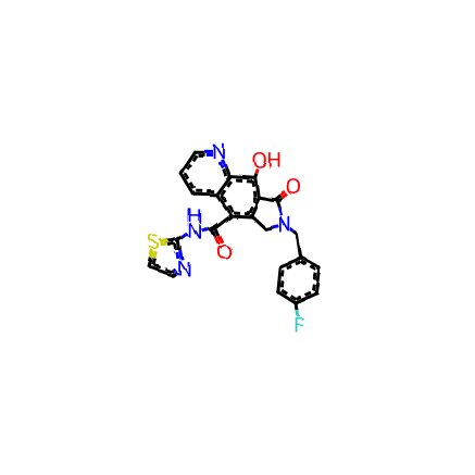 O=C(Nc1nccs1)c1c2c(c(O)c3ncccc13)C(=O)N(Cc1ccc(F)cc1)C2